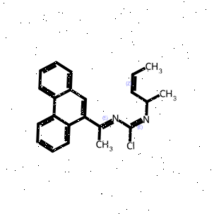 C/C=C\C(C)/N=C(Cl)\N=C(/C)c1cc2ccccc2c2ccccc12